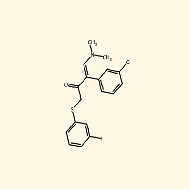 CN(C)/C=C(/C(=O)CSc1cccc(I)c1)c1cccc(Cl)c1